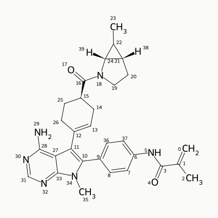 C=C(C)C(=O)Nc1ccc(-c2c(C3=CC[C@H](C(=O)N4CC[C@H]5C(C)[C@H]54)CC3)c3c(N)ncnc3n2C)cc1